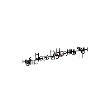 Nc1cc(C(=O)NCCCOCCOCCOCCCNC(=O)CCCCC2SCC3NC(=O)NC32)cc(C(=O)NCCCOCCOCCOCCCNC(=O)CCCCC2SCC3NC(=O)NC32)c1